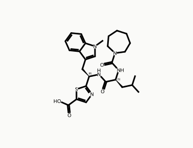 CC(C)C[C@H](NC(=O)N1CCCCCC1)C(=O)N[C@H](Cc1cn(C)c2ccccc12)c1ncc(C(=O)O)s1